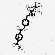 COC(=O)C12CCC(C(=O)Nc3ccc(CNC(=O)OC(C)(C)C)cc3)(CC1)CC2